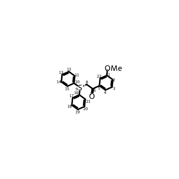 COc1cccc(C(=O)C[S+](c2ccccc2)c2ccccc2)c1